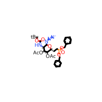 CC(=O)O[C@H]1[C@H](OC(C)=O)[C@@H](NC(=O)OC(C)(C)C)C(N=[N+]=[N-])O[C@@H]1CCP(=O)(OCc1ccccc1)OCc1ccccc1